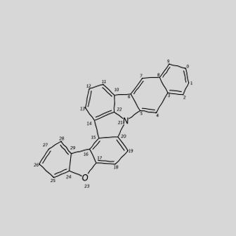 c1ccc2cc3c(cc2c1)c1cccc2c4c5c(ccc4n3c12)oc1ccccc15